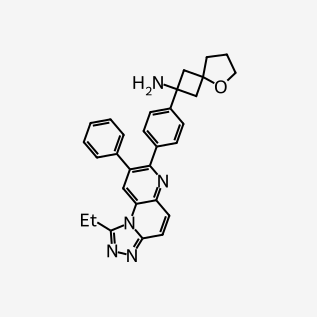 CCc1nnc2ccc3nc(-c4ccc(C5(N)CC6(CCCO6)C5)cc4)c(-c4ccccc4)cc3n12